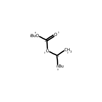 CCCCC(C)OC(=O)OCC(C)C